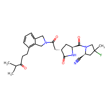 CC(C)C(=O)CCc1cccc2c1CN(C(=O)C[C@@H]1C[C@@H](C(=O)N3CC(C)(F)C[C@H]3C#N)NC1=O)C2